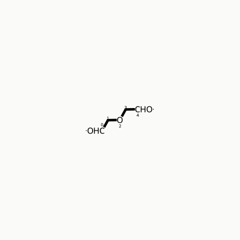 O=[C]COC[C]=O